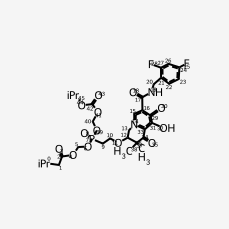 CC(C)CC(=O)OCOP(=O)(CCOC1Cn2cc(C(=O)NCc3ccc(F)cc3F)c(=O)c(O)c2C(=O)C1(C)C)OCOC(=O)OC(C)C